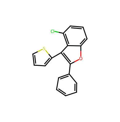 Clc1cccc2oc(-c3ccccc3)c(-c3cccs3)c12